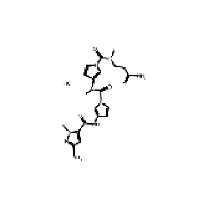 CN(CCC(N)=O)C(=O)n1ccc(N(C)C(=O)n2ccc(NC(=O)c3cc(N)nn3C)c2)c1.Cl